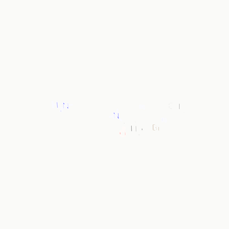 C=C1C(=O)N(Cc2cccc(N)c2)CC/C1=C/C(Br)=C\C